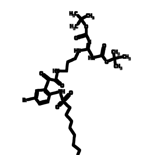 CCCCCCCCS(=O)(=O)Nc1ccc(Br)cc1C(=O)C(=O)NCCCN/C(=N\C(=O)OC(C)(C)C)NC(=O)OC(C)(C)C